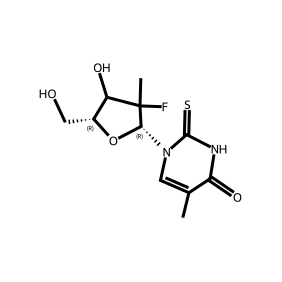 Cc1cn([C@@H]2O[C@H](CO)C(O)C2(C)F)c(=S)[nH]c1=O